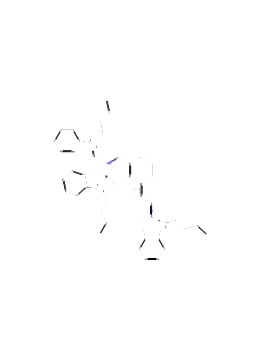 C=CCCN1/C(=C/C=C2\CCCC(/C=C/c3sc4ccccc4[n+]3CCC=C)=C2OC2(C)Sc3ccccc3N2CCC=C)Sc2ccccc21